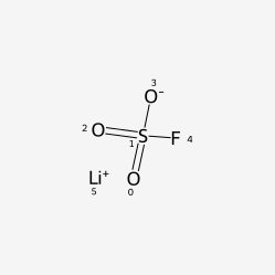 O=S(=O)([O-])F.[Li+]